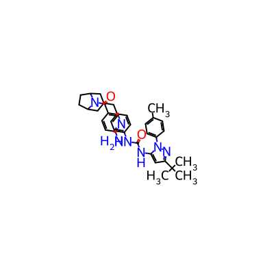 Cc1ccc(-n2nc(C(C)(C)C)cc2NC(=O)Nc2ccc(CC3CC4CCC(C3)N4C(=O)c3ccc(N)nc3)cc2)cc1